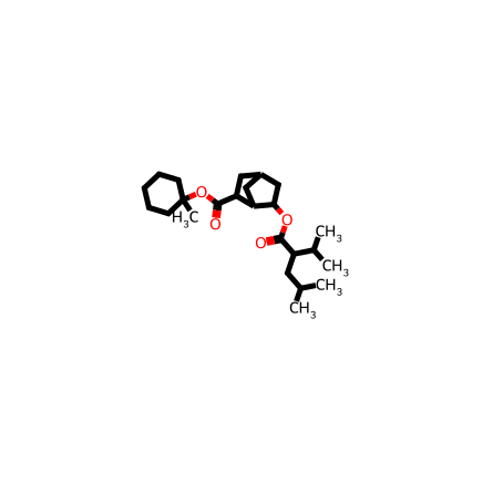 CC(C)CC(C(=O)OC1CC2CC(C(=O)OC3(C)CCCCC3)C1C2)C(C)C